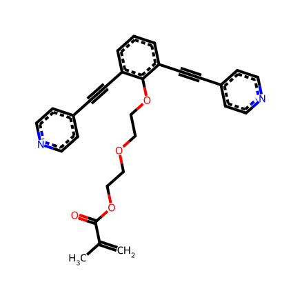 C=C(C)C(=O)OCCOCCOc1c(C#Cc2ccncc2)cccc1C#Cc1ccncc1